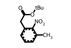 Cc1cccc(CC(=O)OC(C)(C)C)c1[N+](=O)[O-]